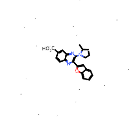 CC1CCCN1c1nc2cc(C(=O)O)ccc2nc1-c1cc2ccccc2o1